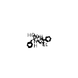 CCN(CC(=O)N[C@@H](Cc1ccccc1)B(O)O)C(=O)c1ccccc1